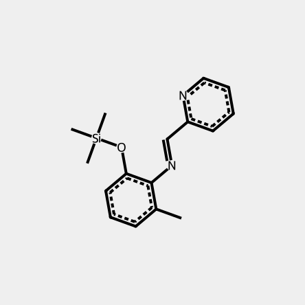 Cc1cccc(O[Si](C)(C)C)c1/N=C/c1ccccn1